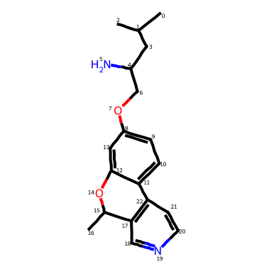 CC(C)CC(N)COc1ccc2c(c1)OC(C)c1cnccc1-2